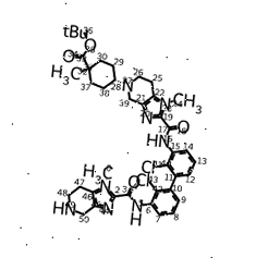 Cn1c(C(=O)Nc2cccc(-c3cccc(NC(=O)c4nc5c(n4C)CCN([C@H]4CC[C@@](C)(C(=O)OC(C)(C)C)CC4)C5)c3Cl)c2Cl)nc2c1CCNC2